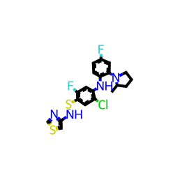 CC1CCCN1c1cc(F)ccc1Nc1cc(F)c(SNc2cscn2)cc1Cl